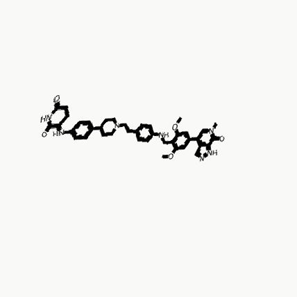 COc1cc(-c2cn(C)c(=O)c3[nH]ncc23)cc(OC)c1CNc1ccc(CCN2CCC(c3ccc(NC4CCC(=O)NC4=O)cc3)CC2)cc1